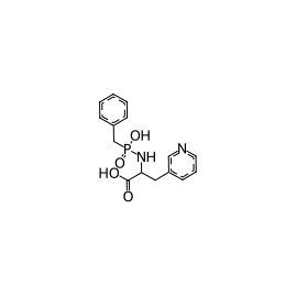 O=C(O)C(Cc1cccnc1)NP(=O)(O)Cc1ccccc1